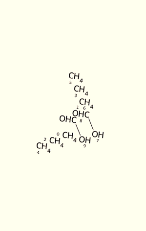 C.C.C.C.C.C.O=CO.O=CO